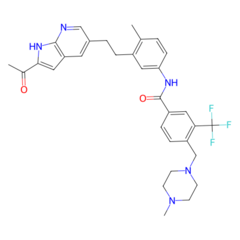 CC(=O)c1cc2cc(CCc3cc(NC(=O)c4ccc(CN5CCN(C)CC5)c(C(F)(F)F)c4)ccc3C)cnc2[nH]1